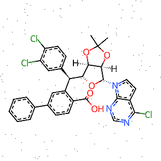 CC1(C)O[C@@H]2[C@@H]([C@H](c3ccc(Cl)c(Cl)c3)c3cc(-c4ccccc4)ccc3C(=O)O)O[C@@H](n3ccc4c(Cl)ncnc43)[C@@H]2O1